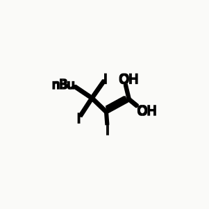 CCCCC(I)(I)C(I)=C(O)O